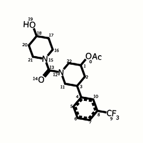 CC(=O)OC1CC(c2cccc(C(F)(F)F)c2)CN(C(=O)N2CCC(O)CC2)C1